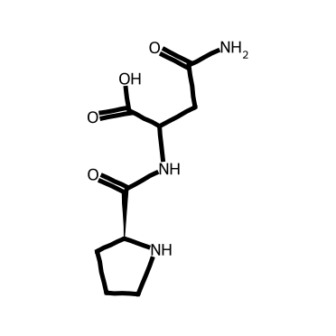 NC(=O)CC(NC(=O)[C@@H]1CCCN1)C(=O)O